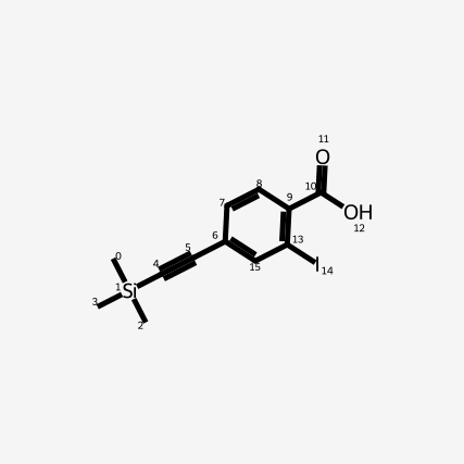 C[Si](C)(C)C#Cc1ccc(C(=O)O)c(I)c1